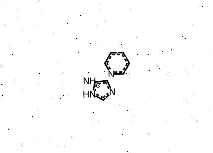 N.c1c[nH]cn1.c1ccncc1